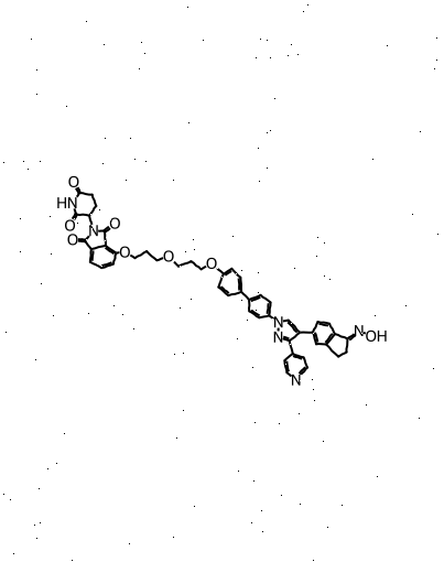 O=C1CCC(N2C(=O)c3cccc(OCCCOCCCOc4ccc(-c5ccc(-n6cc(-c7ccc8c(c7)CCC8=NO)c(-c7ccncc7)n6)cc5)cc4)c3C2=O)C(=O)N1